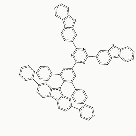 c1ccc(-c2ccc3c4ccc(-c5ccccc5)cc4n(-c4c(-c5ccccc5)cc(-c5nc(-c6ccc7c(c6)sc6ccccc67)nc(-c6ccc7c(c6)sc6ccccc67)n5)cc4-c4ccccc4)c3c2)cc1